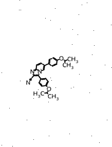 CC(C)Oc1ccc(-c2ccc3nc(C#N)c(-c4ccc(OC(C)C)cc4)n3c2)cc1